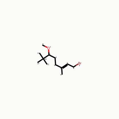 COC(CCC(C)=CCBr)C(C)(C)C